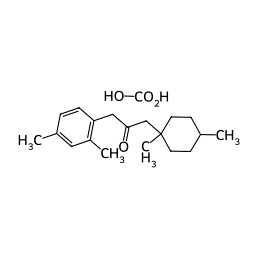 Cc1ccc(CC(=O)CC2(C)CCC(C)CC2)c(C)c1.O=C(O)O